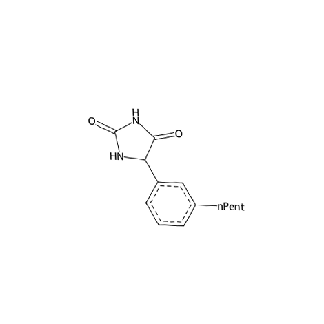 CCCCCc1cccc(C2NC(=O)NC2=O)c1